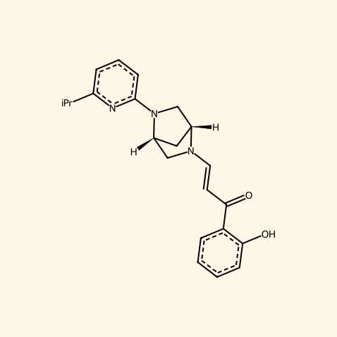 CC(C)c1cccc(N2C[C@H]3C[C@@H]2CN3/C=C/C(=O)c2ccccc2O)n1